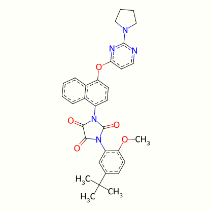 COc1ccc(C(C)(C)C)cc1N1C(=O)C(=O)N(c2ccc(Oc3ccnc(N4CCCC4)n3)c3ccccc23)C1=O